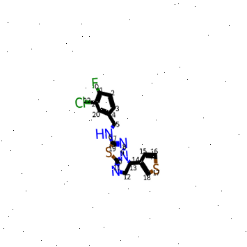 Fc1ccc(CNC2=NN3C(=NCC3c3ccsc3)S2)cc1Cl